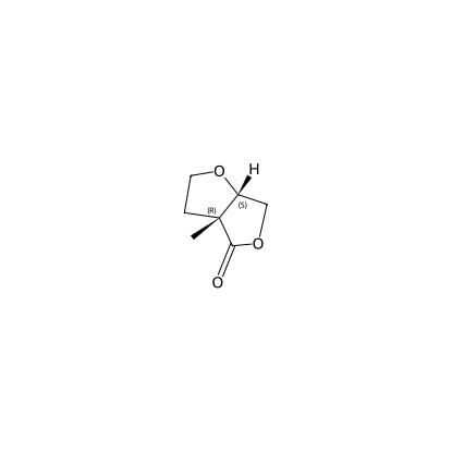 C[C@@]12CCO[C@@H]1COC2=O